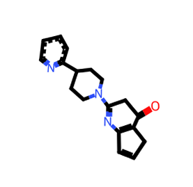 O=C1CC(N2CCC(c3ccccn3)CC2)=NC2=C1CC=C2